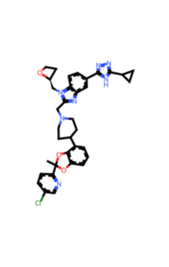 CC1(c2ccc(Cl)cn2)Oc2cccc(C3CCN(Cc4nc5cc(-c6nnc(C7CC7)[nH]6)ccc5n4C[C@@H]4CCO4)CC3)c2O1